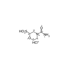 Cl.NC(=O)N1CCOC(S(=O)(=O)O)C1